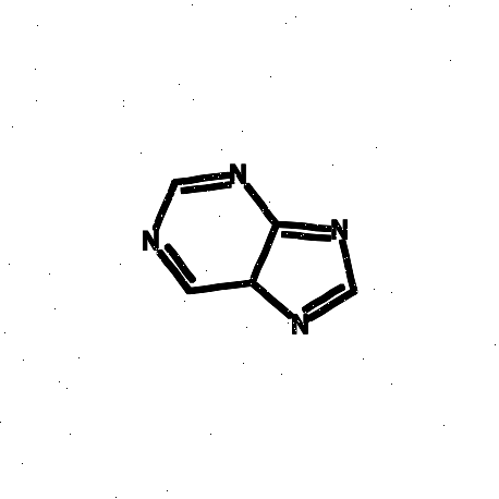 C1=NC=NC2=NC=NC12